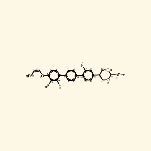 CCC/C=C\Oc1ccc(-c2ccc(-c3ccc(C4COC(CCCCCCCCCC)OC4)cc3F)cc2)c(F)c1F